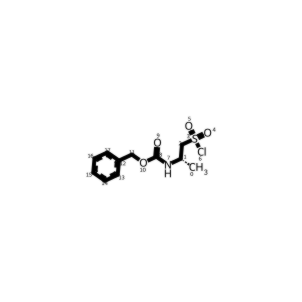 C[C@@H](CS(=O)(=O)Cl)NC(=O)OCc1ccccc1